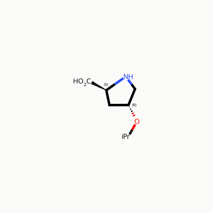 CC(C)O[C@H]1CN[C@H](C(=O)O)C1